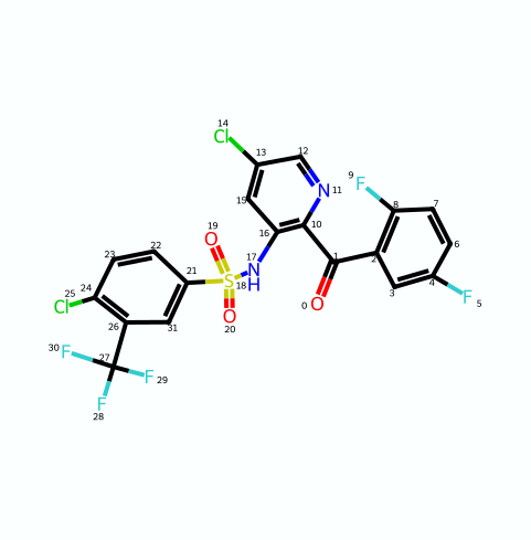 O=C(c1cc(F)ccc1F)c1ncc(Cl)cc1NS(=O)(=O)c1ccc(Cl)c(C(F)(F)F)c1